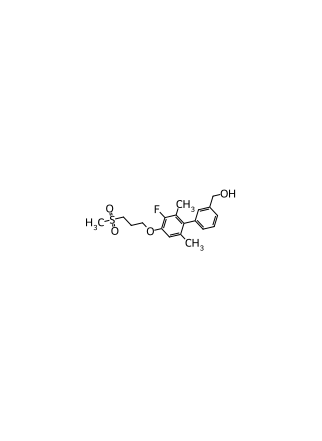 Cc1cc(OCCCS(C)(=O)=O)c(F)c(C)c1-c1cccc(CO)c1